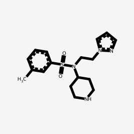 Cc1cccc(S(=O)(=O)N(CCn2cccn2)C2CCNCC2)c1